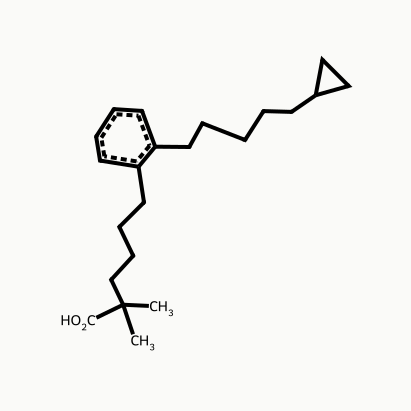 CC(C)(CCCCc1ccccc1CCCCCC1CC1)C(=O)O